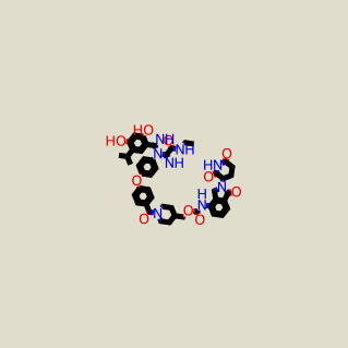 CCNC(=O)C(=N)N(C(=N)c1cc(C(C)C)c(O)cc1O)c1ccc(Oc2ccc(C(=O)N3CCC(COC(=O)Nc4cccc5c4CN(C4CCC(=O)NC4=O)C5=O)CC3)cc2)cc1